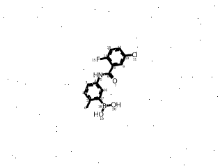 Cc1ccc(NC(=O)c2cc(Cl)ccc2F)cc1B(O)O